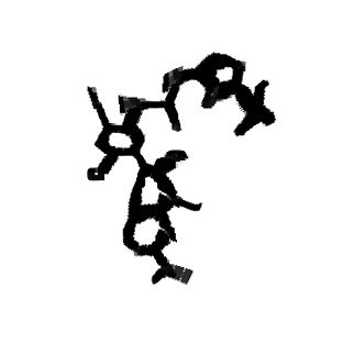 CNc1ncc2cc(-c3cc(NC(=O)Nc4cnc(C(C)(C)C)o4)c(F)cc3Cl)c(=O)n(C)c2n1